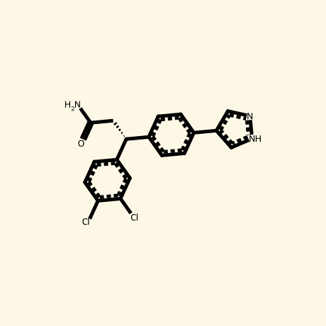 NC(=O)C[C@H](c1ccc(-c2cn[nH]c2)cc1)c1ccc(Cl)c(Cl)c1